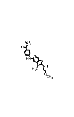 COCCNc1nc2cnc(Nc3ccc(C(=O)OC)cc3)cc2n1C